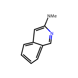 CNc1cc2ccccc2cn1